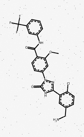 COc1cc(-n2nc(-c3cc(CN)ccc3Cl)[nH]c2=O)ccc1C(=O)Nc1cccc(C(F)(F)F)c1